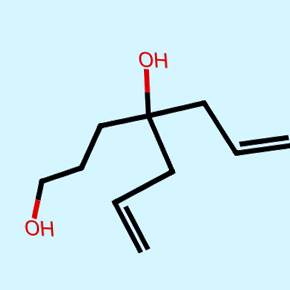 C=CCC(O)(CC=C)CCCO